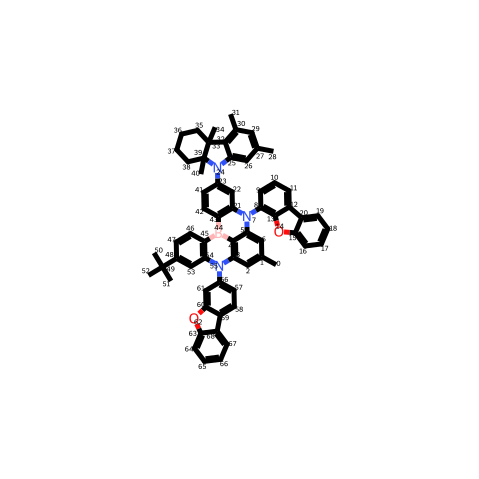 Cc1cc2c3c(c1)N(c1cccc4c1oc1ccccc14)c1cc(N4c5cc(C)cc(C)c5C5(C)CCCCC45C)ccc1B3c1ccc(C(C)(C)C)cc1N2c1ccc2c(c1)oc1ccccc12